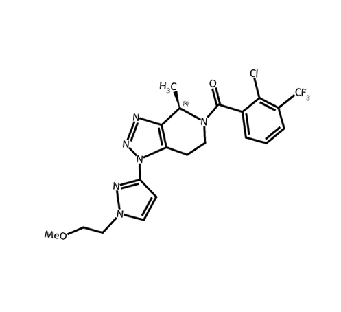 COCCn1ccc(-n2nnc3c2CCN(C(=O)c2cccc(C(F)(F)F)c2Cl)[C@@H]3C)n1